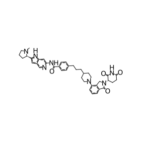 CN1CCC[C@@H]1c1cc2cnc(NC(=O)c3ccc(CCCC4CCN(c5cccc6c5CN([C@H]5CCC(=O)NC5=O)C6=O)CC4)cc3)cc2[nH]1